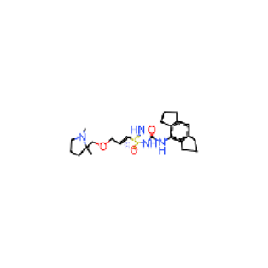 CN1CCC[C@@]1(C)COC/C=C/S(=N)(=O)NC(=O)Nc1c2c(cc3c1CCC3)CCC2